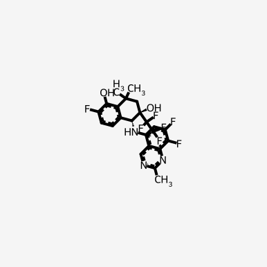 Cc1ncc2c(N[C@@H]3c4ccc(F)c(O)c4C(C)(C)C[C@]3(O)C(F)(F)C(F)(F)F)cc(F)c(F)c2n1